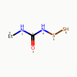 CCNC(=O)NSS